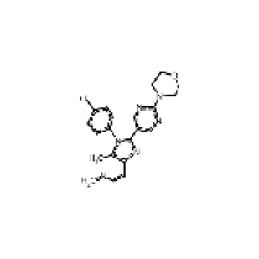 C=N/C=C\c1nc(-c2cnc(N3CCOCC3)nc2)n(-c2ccc(Cl)cc2)c1C